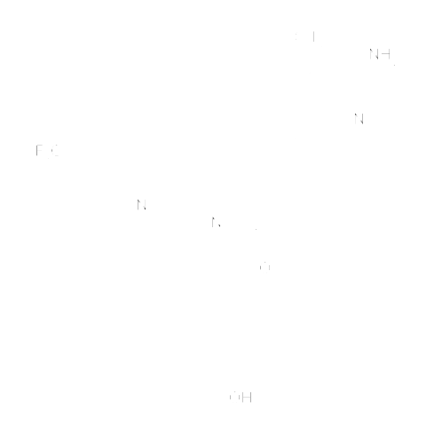 Cc1cc2cc(C(=O)N(Cc3ccc(O)cc3)Cc3ccc(C(F)(F)F)cn3)ccc2nc1N